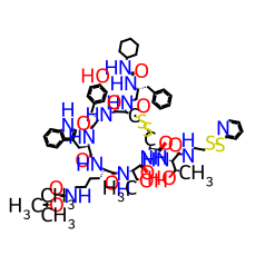 C[C@@H](O)[C@H](NC(=O)[C@@H]1CSSC[C@H](NC(=O)[C@@H](Cc2ccccc2)NC(=O)NC2CCCCC2)C(=O)N[C@@H](Cc2ccc(O)cc2)C(=O)N[C@H](Cc2c[nH]c3ccccc23)C(=O)N[C@@H](CCCCNC(=O)OC(C)(C)C)C(=O)N[C@@H]([C@@H](C)O)C(=O)N1)C(=O)NCCSSc1ccccn1